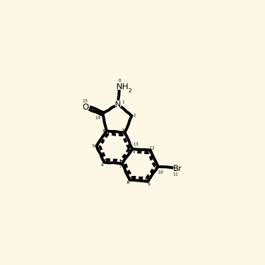 NN1Cc2c(ccc3ccc(Br)cc23)C1=O